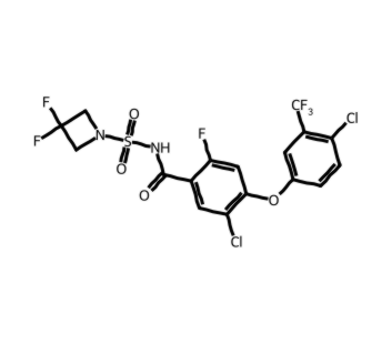 O=C(NS(=O)(=O)N1CC(F)(F)C1)c1cc(Cl)c(Oc2ccc(Cl)c(C(F)(F)F)c2)cc1F